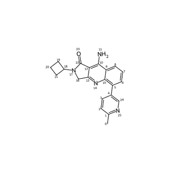 Cc1ccc(-c2cccc3c(N)c4c(nc23)CN(C2CCC2)C4=O)cn1